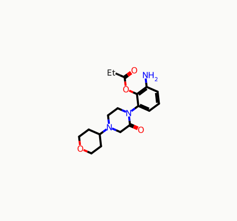 CCC(=O)Oc1c(N)cccc1N1CCN(C2CCOCC2)CC1=O